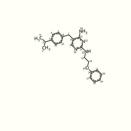 CC(C)c1ccc(Cc2cnc(NCCOc3ccccc3)nc2N)cc1